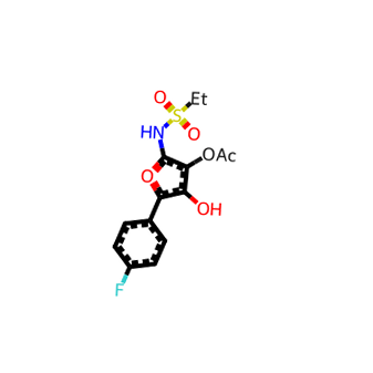 CCS(=O)(=O)Nc1oc(-c2ccc(F)cc2)c(O)c1OC(C)=O